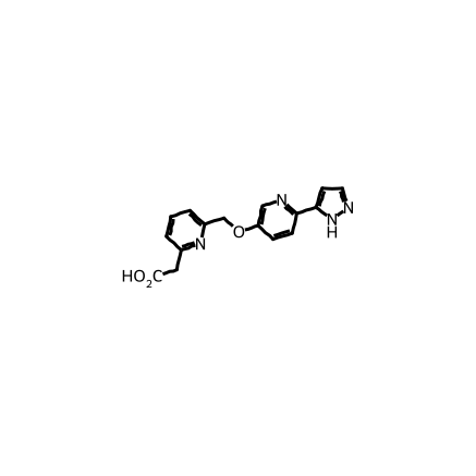 O=C(O)Cc1cccc(COc2ccc(-c3ccn[nH]3)nc2)n1